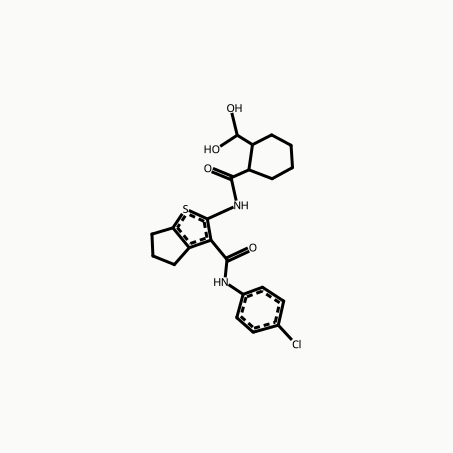 O=C(Nc1ccc(Cl)cc1)c1c(NC(=O)C2CCCCC2C(O)O)sc2c1CCC2